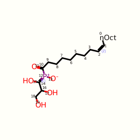 CCCCCCCC/C=C\CCCCCCCC(=O)/[P+]([O-])=C(\O)C(O)CO